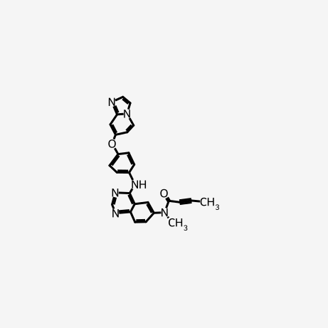 CC#CC(=O)N(C)c1ccc2ncnc(Nc3ccc(Oc4ccn5ccnc5c4)cc3)c2c1